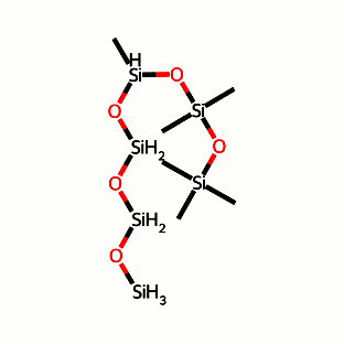 C[SiH](O[SiH2]O[SiH2]O[SiH3])O[Si](C)(C)O[Si](C)(C)C